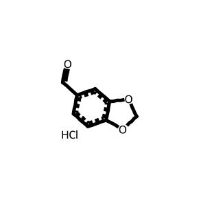 Cl.O=Cc1ccc2c(c1)OCO2